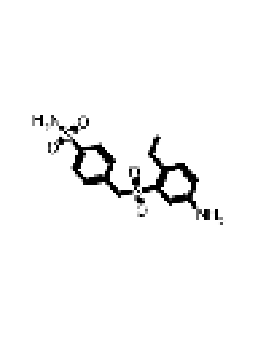 CCc1ccc(N)cc1S(=O)(=O)Cc1ccc(S(N)(=O)=O)cc1